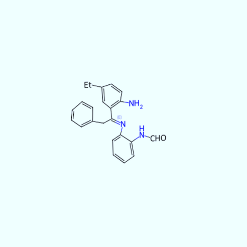 CCc1ccc(N)c(/C(Cc2ccccc2)=N/c2ccccc2NC=O)c1